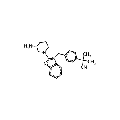 CC(C)(C#N)c1ccc(Cn2c(N3CCC[C@@H](N)C3)nc3ccccc32)cc1